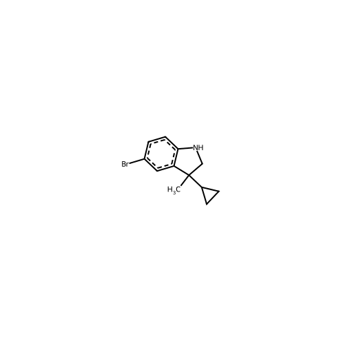 CC1(C2CC2)CNc2ccc(Br)cc21